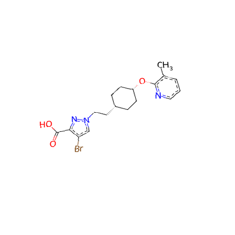 Cc1cccnc1O[C@H]1CC[C@@H](CCn2cc(Br)c(C(=O)O)n2)CC1